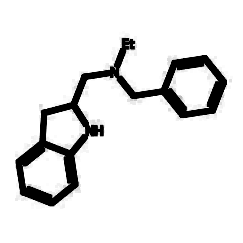 CCN(Cc1ccccc1)CC1Cc2ccccc2N1